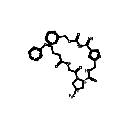 N=C(NC(=O)OCc1ccccc1)c1csc(CNC(=O)[C@@H]2C[C@@H](C(F)(F)F)CN2C(=O)CNC(=O)CCCOc2ccccc2)c1